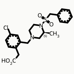 C[C@H]1CN(Cc2cc(Cl)ccc2CC(=O)O)CCN1S(=O)(=O)Cc1ccccc1